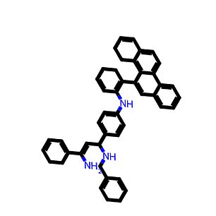 N/C(=C\C(NCC1=CCCC=C1)c1ccc(NC2=C(c3cc4ccccc4c4ccc5c(c34)CCC=C5)CCC=C2)cc1)C1=CC=CCC1